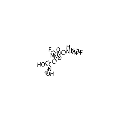 C[C@@H](O)CN(C)Cc1cc(O)ccc1-c1cccc(-n2c(=O)n(C3CCC(NCC4=C[N+]5CN(F)C=CC5=N4)CC3)c(=O)c3cc(F)cnc32)c1